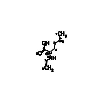 C=CN[C@@H](CCSC)C(=O)O